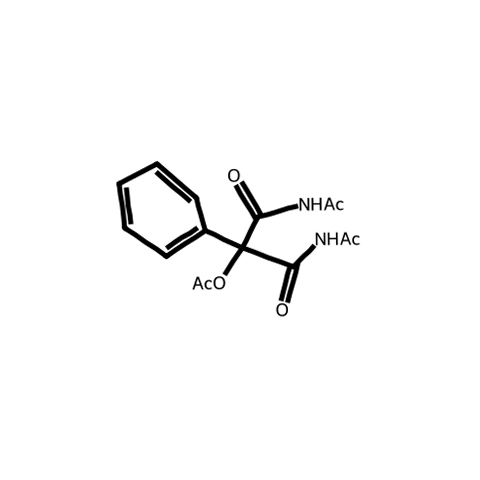 CC(=O)NC(=O)C(OC(C)=O)(C(=O)NC(C)=O)c1ccccc1